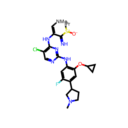 CN/C=C(/Nc1nc(Nc2cc(F)c(C3CCN(C)C3)cc2OC2CC2)ncc1Cl)C(=N)[S+]([O-])C(C)C